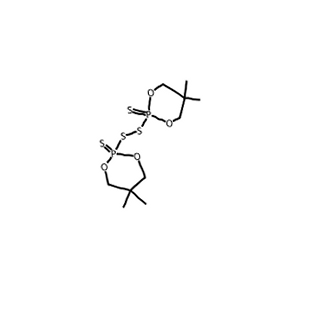 CC1(C)COP(=S)(SSP2(=S)OCC(C)(C)CO2)OC1